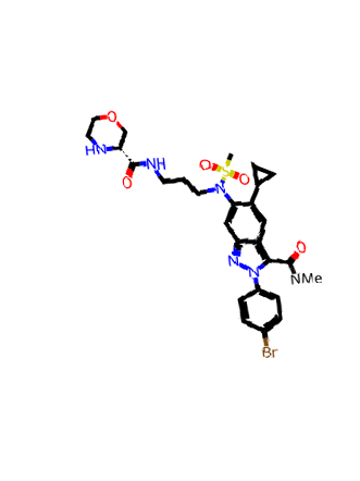 CNC(=O)c1c2cc(C3CC3)c(N(CCCNC(=O)[C@H]3COCCN3)S(C)(=O)=O)cc2nn1-c1ccc(Br)cc1